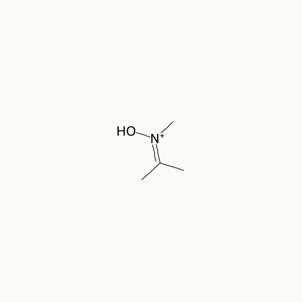 CC(C)=[N+](C)O